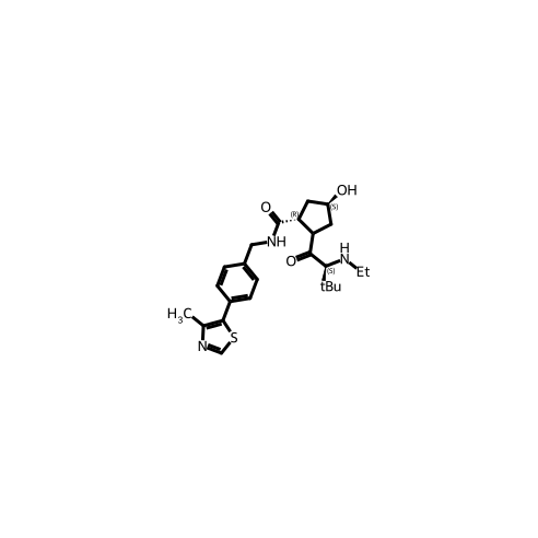 CCN[C@H](C(=O)C1C[C@H](O)C[C@H]1C(=O)NCc1ccc(-c2scnc2C)cc1)C(C)(C)C